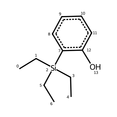 CC[Si](CC)(CC)c1ccccc1O